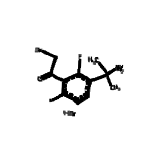 Br.CC(C)(N)c1ccc(F)c(C(=O)CBr)c1F